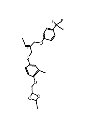 C/C=C(\COc1ccc(C(F)(F)F)cc1)CSc1ccc(OCC2OC(C)O2)c(C)c1